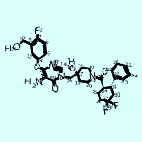 Nc1c(Oc2ccc(F)c(CO)c2)ncn(CC2(O)CCN(C(=O)[C@@H]3CCC(F)(F)C[C@H]3c3ccccc3)CC2)c1=O